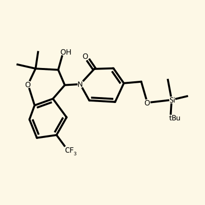 CC1(C)Oc2ccc(C(F)(F)F)cc2C(n2ccc(CO[Si](C)(C)C(C)(C)C)cc2=O)C1O